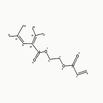 C=CC(=O)OCCOC(=O)C(C=C(C)C)=C(C)C